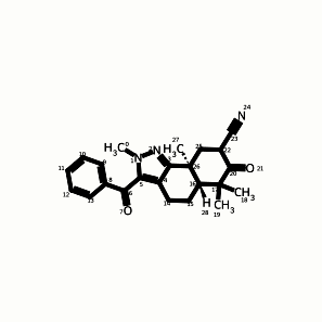 Cn1nc2c(c1C(=O)c1ccccc1)CC[C@H]1C(C)(C)C(=O)C(C#N)C[C@]21C